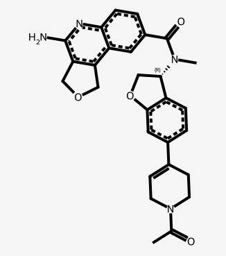 CC(=O)N1CC=C(c2ccc3c(c2)OC[C@@H]3N(C)C(=O)c2ccc3nc(N)c4c(c3c2)COC4)CC1